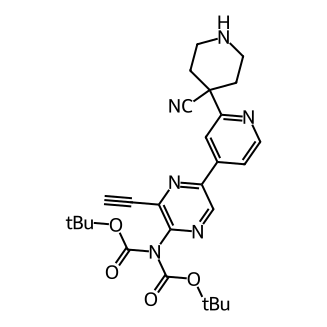 C#Cc1nc(-c2ccnc(C3(C#N)CCNCC3)c2)cnc1N(C(=O)OC(C)(C)C)C(=O)OC(C)(C)C